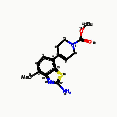 COc1ccc(C2=CCN(C(=O)OC(C)(C)C)CC2)c2sc(N)nc12